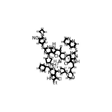 CCc1[nH]c2nc(Cc3cccnc3)nc(N3CCC(N4CCOCC4CCc4[nH]c5nc(Sc6cnc7nccnc7c6)nc(N6CC(C(C)c7[nH]c8nc(Sc9cnc(N%10CCC%10)c(C#N)c9)nc(N9CCC(N)C9)c8c7Cl)C[C@H](N)C6)c5c4Cl)C3)c2c1Cl